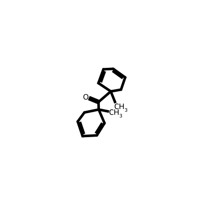 CC1(C(=O)C2(C)C=CC=CC2)C=CC=CC1